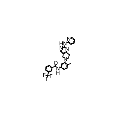 Cc1ccc(NC(=O)c2cccc(C(F)(F)F)c2)cc1N1CCc2nc(Nc3ccccn3)ncc2C1